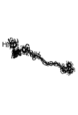 CC(C)(C)C1NCc2c(Cn3cc(-c4ccc(C(=O)NCCNC(=O)CCOCCOCCOCCOCCNC(=O)OCC5c6ccccc6-c6ccccc65)cc4)nn3)cccc21